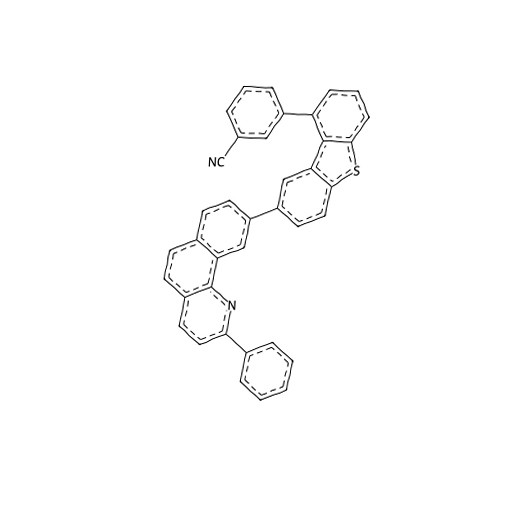 N#Cc1cccc(-c2cccc3sc4ccc(-c5ccc6ccc7ccc(-c8ccccc8)nc7c6c5)cc4c23)c1